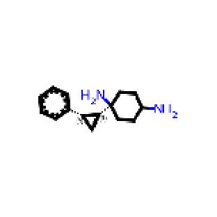 NC1CCC(N)([C@@H]2C[C@@H]2c2ccccc2)CC1